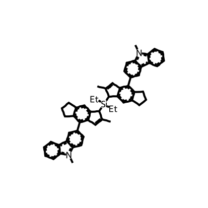 CC[Si](CC)(C1C(C)=Cc2c1cc1c(c2-c2ccc3c(c2)c2ccccc2n3C)CCC1)C1C(C)=Cc2c1cc1c(c2-c2ccc3c(c2)c2ccccc2n3C)CCC1